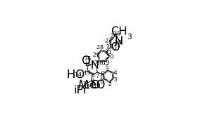 COc1ccccc1C1C(C(=O)CC(C)C)=C(O)C(=O)N1c1ccc(-c2cc(C)no2)cc1